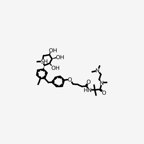 Cc1ccc([C@H]2[C@H](O)[C@H](O)[C@H](O)C[SH]2C)cc1Cc1ccc(OCCCC(=O)NC(C)(C)C(=O)N(C)CCN(C)C)cc1